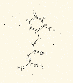 C/C(N)=C/C(=O)OCc1ccncc1F